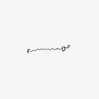 FCCCCCCCCCCCCCCCCOCCF